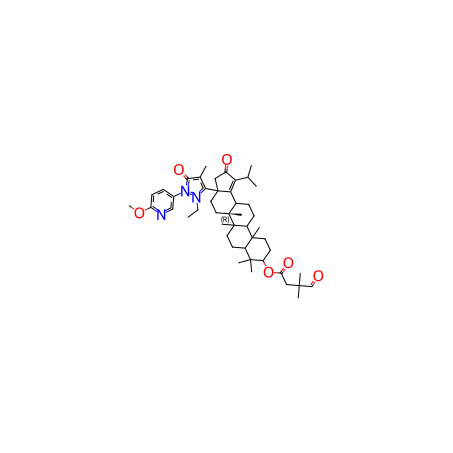 CCn1c(C23CC[C@]4(C)C(CCC5C6(C)CCC(OC(=O)CC(C)(C)C=O)C(C)(C)C6CCC54C)C2=C(C(C)C)C(=O)C3)c(C)c(=O)n1-c1ccc(OC)nc1